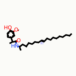 CCCCCCCCC/C=C/CCCCCCC(C)NC(=O)C(C)c1ccc(O)c(OC)c1